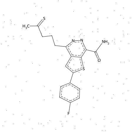 CC(=S)CCCc1nnc(C(N)=O)c2sc(-c3ccc(F)cc3)cc12